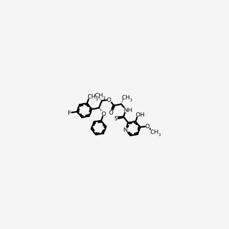 COc1ccnc(C(=S)N[C@@H](C)C(=O)O[C@@H](C)[C@H](Oc2ccccc2)c2ccc(F)cc2C)c1O